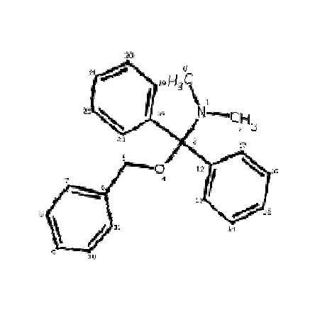 CN(C)C(OCc1ccccc1)(c1ccccc1)c1ccccc1